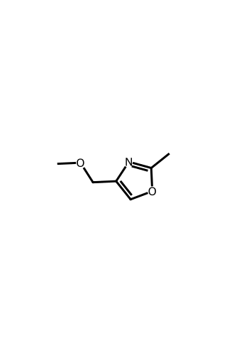 COCc1coc(C)n1